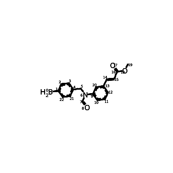 Bc1ccc(CN(C=O)c2cccc(/C=C/C(=O)OC)c2)cc1